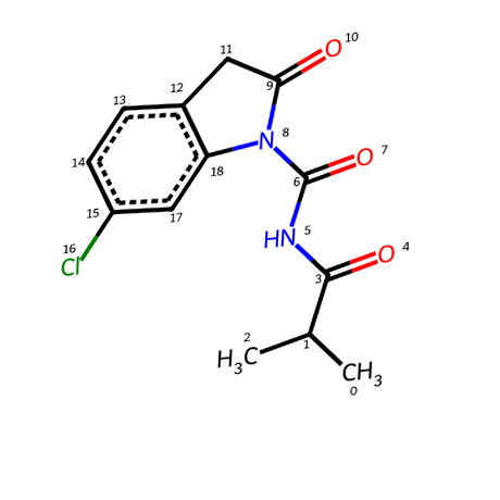 CC(C)C(=O)NC(=O)N1C(=O)Cc2ccc(Cl)cc21